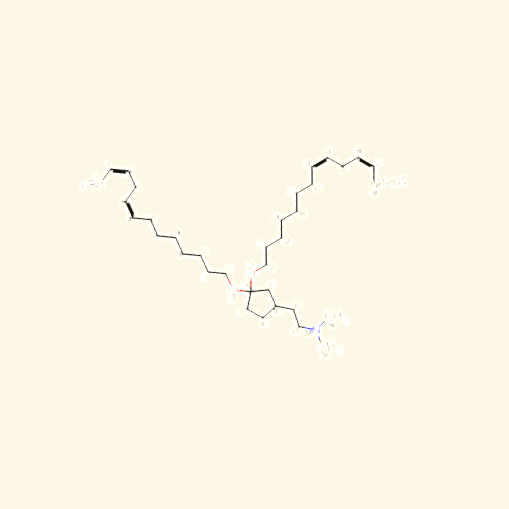 CCCC/C=C\C/C=C\CCCCCCCOC1(OCCCCCCC/C=C\C/C=C\CCCCC)CCC(CCN(C)C)C1